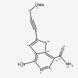 COCC#Cc1cc2c(N)ncc(C(N)=O)c2s1